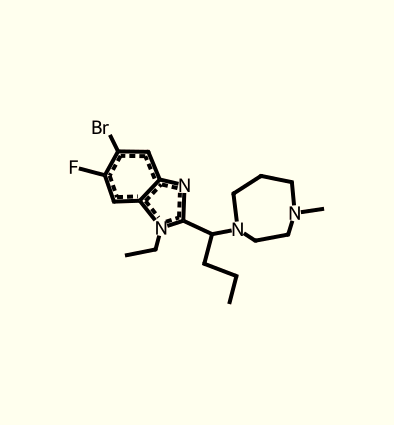 CCCC(c1nc2cc(Br)c(F)cc2n1CC)N1CCCN(C)CC1